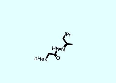 CCCCCCCC(=O)NN=C(C)CC(C)C